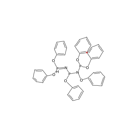 c1ccc(ON(P(N=[PH](Oc2ccccc2)Oc2ccccc2)Oc2ccccc2)P(Oc2ccccc2)Oc2ccccc2)cc1